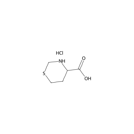 Cl.O=C(O)C1CCSCN1